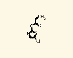 C=CC(=O)Oc1ncc(Cl)s1